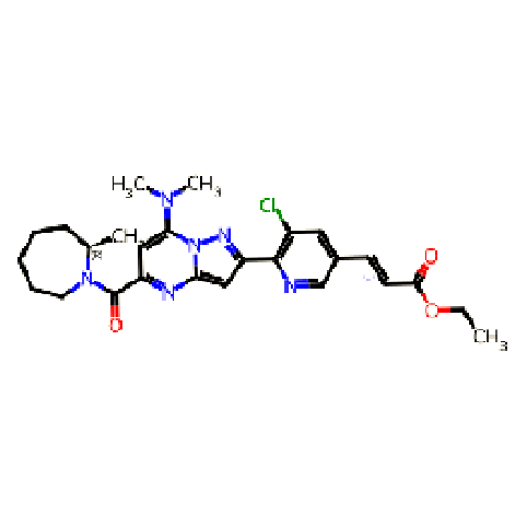 CCOC(=O)/C=C/c1cnc(-c2cc3nc(C(=O)N4CCCCC[C@H]4C)cc(N(C)C)n3n2)c(Cl)c1